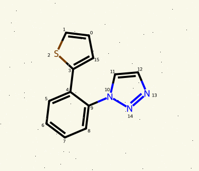 c1csc(-c2ccccc2-n2ccnn2)c1